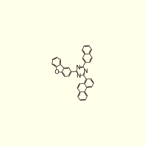 c1ccc2cc(-c3nc(-c4ccc5oc6ccccc6c5c4)nc(-c4cccc5c4ccc4ccccc45)n3)ccc2c1